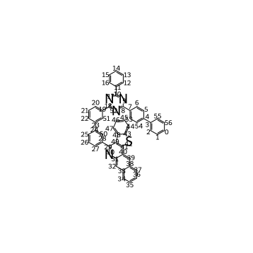 c1ccc(-c2ccc(-c3nc(-c4ccccc4)nc(-c4cccc(-c5cccc(-c6nc7cc8ccccc8cc7c7sc8ccccc8c67)c5)c4)n3)cc2)cc1